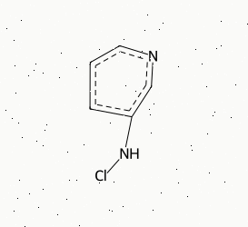 ClNc1cccnc1